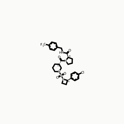 O=C(NCc1ccc(C(F)(F)F)cc1)[C@H]1CCCN1C(=O)[C@H]1CCCN(S(=O)(=O)N2CC[C@@H]2c2ccc(Cl)cc2)C1